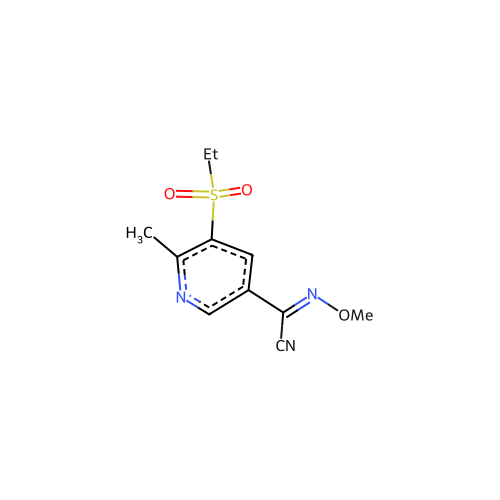 CCS(=O)(=O)c1cc(/C(C#N)=N/OC)cnc1C